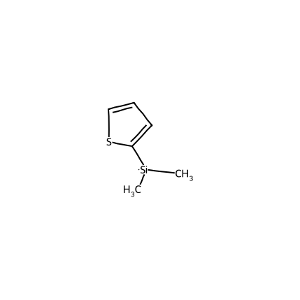 C[Si](C)c1cccs1